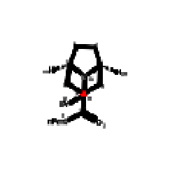 CCCCCC(=O)N1C[C@H]2CC[C@@H](C1)N2CC(C)C